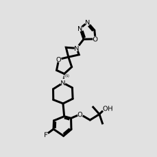 CC(C)(O)COc1ccc(F)cc1C1CCN([C@@H]2COC3(C2)CN(c2nnco2)C3)CC1